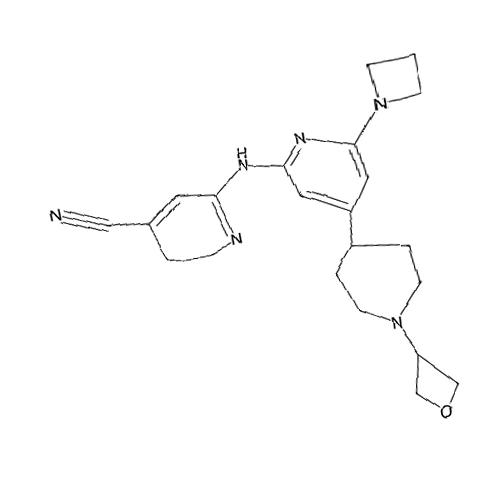 N#CC1=CC(Nc2cc(C3CCN(C4COC4)CC3)cc(N3CCC3)n2)=NCC1